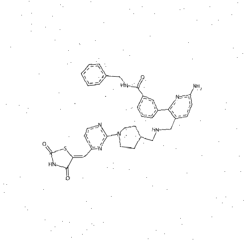 Nc1ccc(CNCC2CCN(c3nccc(/C=C4\SC(=O)NC4=O)n3)CC2)c(-c2cccc(C(=O)NCc3ccccc3)c2)n1